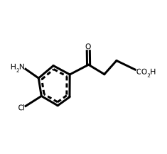 Nc1cc(C(=O)CCC(=O)O)ccc1Cl